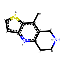 Cc1c2c(nc3ccsc13)CCNC2